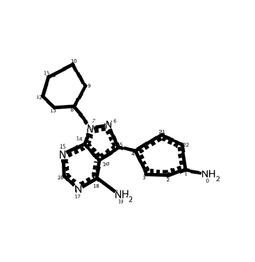 Nc1ccc(-c2nn(C3CCCCC3)c3ncnc(N)c23)cc1